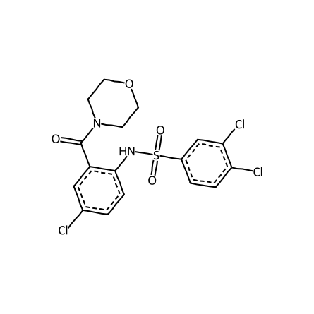 O=C(c1cc(Cl)ccc1NS(=O)(=O)c1ccc(Cl)c(Cl)c1)N1CCOCC1